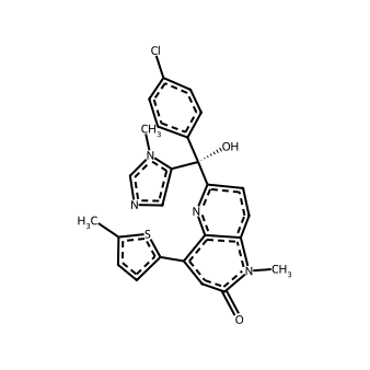 Cc1ccc(-c2cc(=O)n(C)c3ccc([C@](O)(c4ccc(Cl)cc4)c4cncn4C)nc23)s1